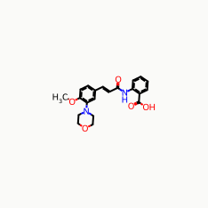 COc1ccc(C=CC(=O)Nc2ccccc2C(=O)O)cc1N1CCOCC1